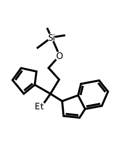 CCC(CCO[Si](C)(C)C)(C1=CC=CC1)C1C=Cc2ccccc21